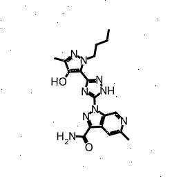 CCCCn1nc(C)c(O)c1-c1n[nH]c(-n2nc(C(N)=O)c3cc(C)ncc32)n1